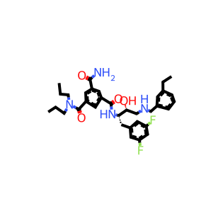 CCCN(CCC)C(=O)c1cc(C(N)=O)cc(C(=O)N[C@@H](Cc2cc(F)cc(F)c2)[C@H](O)CNCc2cccc(CC)c2)c1